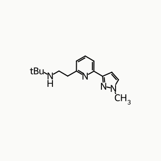 Cn1ccc(-c2cccc(CCNC(C)(C)C)n2)n1